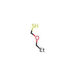 CCCOCS